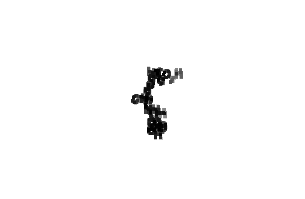 O=C(O)N[C@@H](c1ccccc1)c1cccc(OCc2ccc(C(=O)N(CCCNC[C@H](O)c3ccc(O)c4[nH]c(=O)ccc34)CC3CCCCC3)cc2)c1